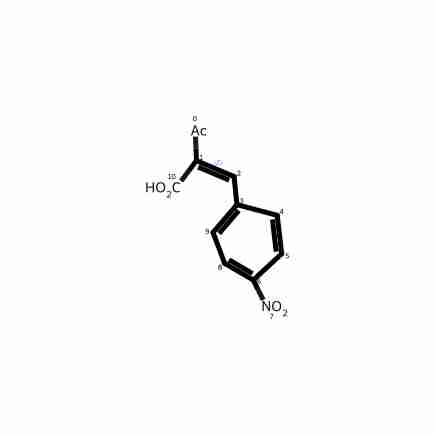 CC(=O)/C(=C/c1ccc([N+](=O)[O-])cc1)C(=O)O